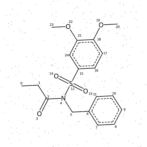 CCC(=O)N(Cc1ccccc1)S(=O)(=O)c1ccc(OC)c(OC)c1